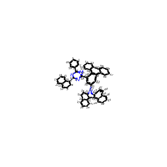 c1ccc(-c2nc(-c3cccc4ccccc34)nc(-c3cc(-n4c5ccc6ccccc6c5c5c6ccccc6ccc54)cc4c5ccccc5c5ccccc5c34)n2)cc1